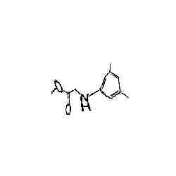 COC(=O)CNc1cc(C)cc(C)c1